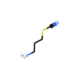 N#CSCCCN